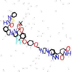 Cn1nc(C2CCC(=O)NC2=O)c2ccc(N3CCN(CCCOC4CCC(Oc5cccc(-c6ccc(N7CCc8cccc(C(=O)Nc9nc%10ccccc%10s9)c8C7)nc6C(=O)OC(C)(C)C)c5C(F)(F)F)CC4)CC3)nc21